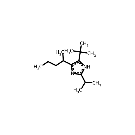 CCCC(C)c1nc(C(C)C)[nH]c1C(C)(C)C